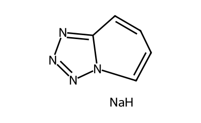 [NaH].c1ccn2nnnc2c1